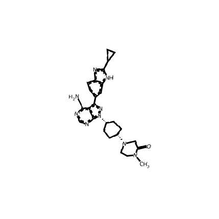 CN1CCN([C@H]2CC[C@@H](n3nc(-c4ccc5nc(C6CC6)[nH]c5c4)c4c(N)ncnc43)CC2)CC1=O